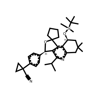 CC(C)c1nc2c(c3c1[C@@H](c1ccc(C4(C#N)CC4)cc1)OC31CCCC1)[C@@H](O[Si](C)(C)C(C)(C)C)CC(C)(C)C2